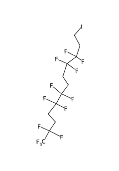 FC(F)(F)C(F)(F)CCC(F)(F)C(F)(F)CCC(F)(F)C(F)(F)CCI